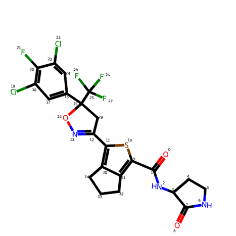 O=C(NC1CCNC1=O)c1sc(C2=NOC(c3cc(Cl)c(F)c(Cl)c3)(C(F)(F)F)C2)c2c1CCC2